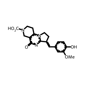 COc1cc(C=C2CCn3c2nc(=O)c2c3CCN(C(=O)O)C2)ccc1O